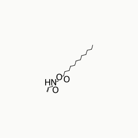 C=CC(=O)NCOC(=O)CCCCCCCCCCC